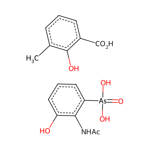 CC(=O)Nc1c(O)cccc1[As](=O)(O)O.Cc1cccc(C(=O)O)c1O